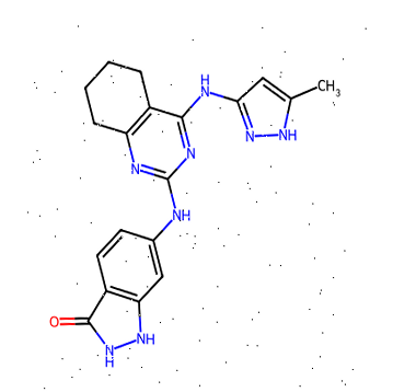 Cc1cc(Nc2nc(Nc3ccc4c(=O)[nH][nH]c4c3)nc3c2CCCC3)n[nH]1